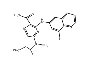 CC(CC=O)N(N)c1cnc(C(N)=O)c(Nc2cc(F)c3ncccc3c2)n1